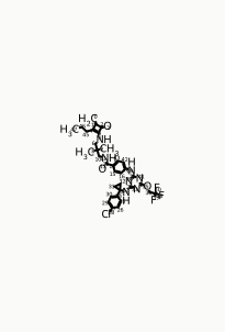 C=C1C(=O)C(NCC(C)(C)CNC(=O)c2ccc(Nc3nc(NC4(c5ccc(Cl)cc5)CC4)nc(OCC(F)(F)F)n3)cc2)=C1CCC